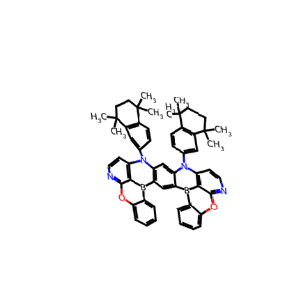 CC1(C)CCC(C)(C)c2cc(N3c4cc5c(cc4B4c6ccccc6Oc6nccc3c64)B3c4ccccc4Oc4nccc(c43)N5c3ccc4c(c3)C(C)(C)CCC4(C)C)ccc21